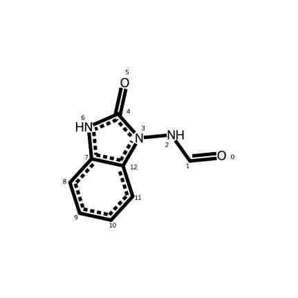 O=CNn1c(=O)[nH]c2ccccc21